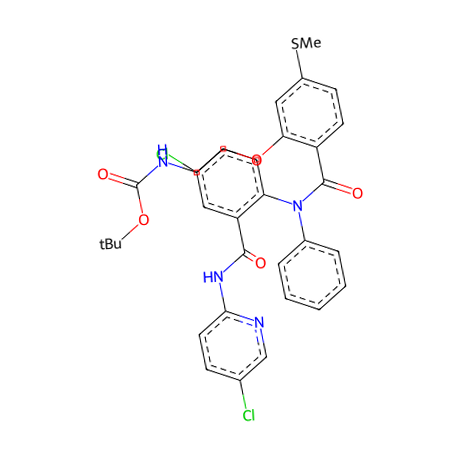 CSc1ccc(C(=O)N(c2ccccc2)c2ccc(Cl)cc2C(=O)Nc2ccc(Cl)cn2)c(OCCNC(=O)OC(C)(C)C)c1